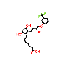 O=C(O)CCC/C=C\C[C@@H]1[C@H](/C=C/[C@H](O)COc2cccc(C(F)(F)F)c2)[C@H](O)C[C@H]1O